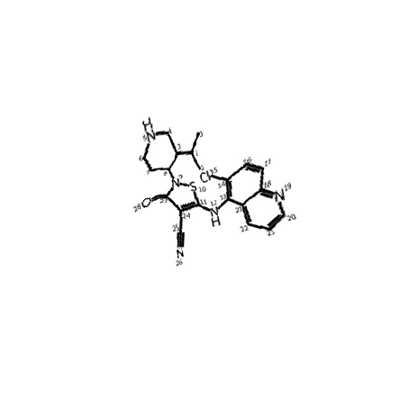 CC(C)C1CNCCC1n1sc(Nc2c(Cl)ccc3ncccc23)c(C#N)c1=O